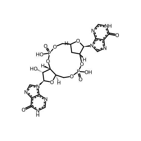 O=c1[nH]cnc2c1ncn2[C@@H]1O[C@@H]2COP(=O)(O)O[C@@H]3C[C@@H](COP(=O)(O)O[C@H]2[C@H]1O)O[C@H]3n1cnc2c(=O)[nH]cnc21